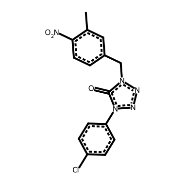 Cc1cc(Cn2nnn(-c3ccc(Cl)cc3)c2=O)ccc1[N+](=O)[O-]